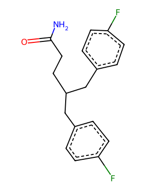 NC(=O)CCC(Cc1ccc(F)cc1)Cc1ccc(F)cc1